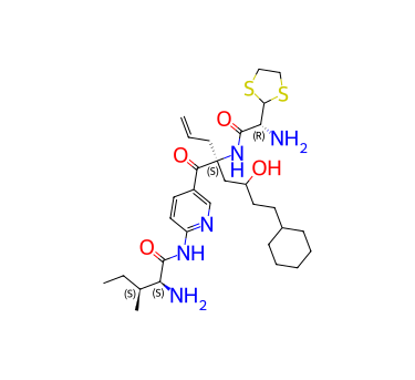 C=CC[C@@](CC(O)CCC1CCCCC1)(NC(=O)[C@@H](N)C1SCCS1)C(=O)c1ccc(NC(=O)[C@@H](N)[C@@H](C)CC)nc1